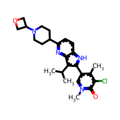 Cc1c(-c2[nH]c3ccc(C4CCN(C5COC5)CC4)nc3c2C(C)C)cn(C)c(=O)c1Cl